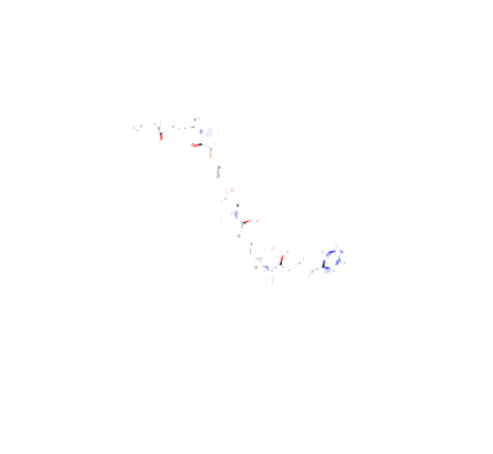 CNC(=O)CC[C@H](NC(=O)COCCOCCNC(=O)CCCS(=O)(=O)NC(=O)CCCc1nnn[nH]1)C(=O)O